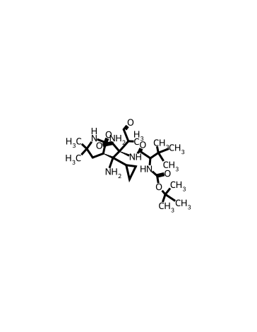 CC(C=O)[C@@](NC(=O)C(NC(=O)OC(C)(C)C)C(C)(C)C)(C(N)=O)C(N)(C1CC1)[C@H]1CC(C)(C)NC1=O